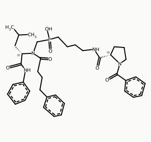 CC(C)C[C@@H](C(=O)Nc1ccccc1)N(CP(=O)(O)CCCCNC(=O)[C@@H]1CCCN1C(=O)c1ccccc1)C(=O)CCCc1ccccc1